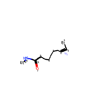 CC/C=C\CCCC(=O)NCC